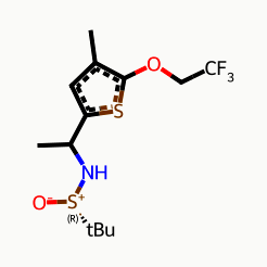 Cc1cc(C(C)N[S@@+]([O-])C(C)(C)C)sc1OCC(F)(F)F